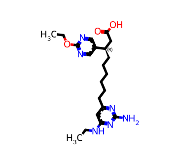 CCNc1cc(CCCCCC[C@H](CC(=O)O)c2cnc(OCC)nc2)nc(N)n1